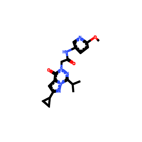 COc1ccc(NC(=O)Cn2nc(C(C)C)n3nc(C4CC4)cc3c2=O)cn1